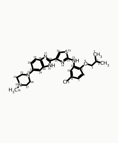 CC(C)COc1ccc(Cl)cc1Nc1nc(-c2nc3ccc(N4CCN(C)CC4)cc3[nH]2)cs1